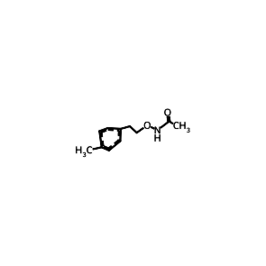 CC(=O)NOCCc1ccc(C)cc1